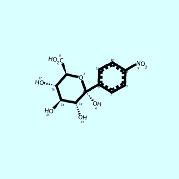 O=C(O)[C@H]1O[C@@](O)(c2ccc([N+](=O)[O-])cc2)[C@H](O)[C@@H](O)[C@@H]1O